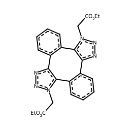 CCOC(=O)Cn1nnc2c1-c1ccccc1-c1nnn(CC(=O)OCC)c1-c1ccccc1-2